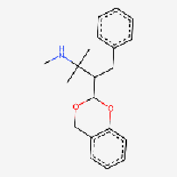 CNC(C)(C)C(Cc1ccccc1)C1OCc2ccccc2O1